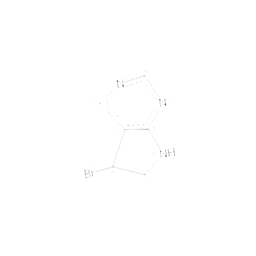 BrC1CNc2ncncc21